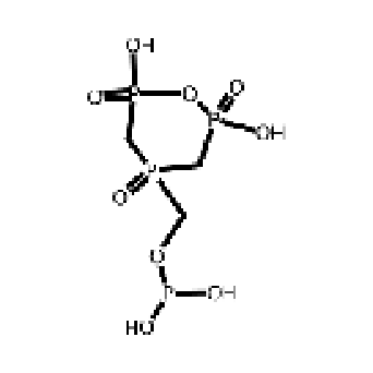 O=P1(COP(O)O)CP(=O)(O)OP(=O)(O)C1